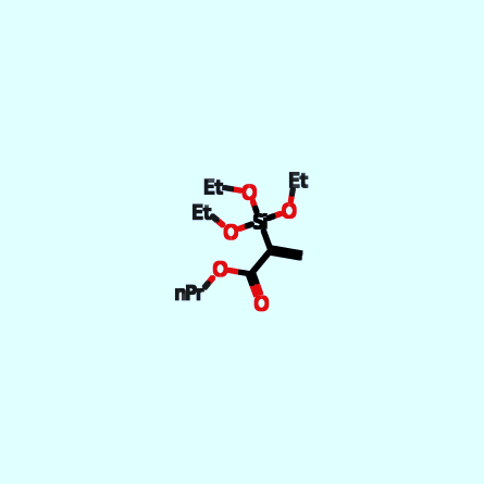 C=C(C(=O)OCCC)[Si](OCC)(OCC)OCC